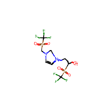 O=S(=O)(CN1C=CN(CC(O)S(=O)(=O)C(F)(F)F)C1)C(F)(F)F